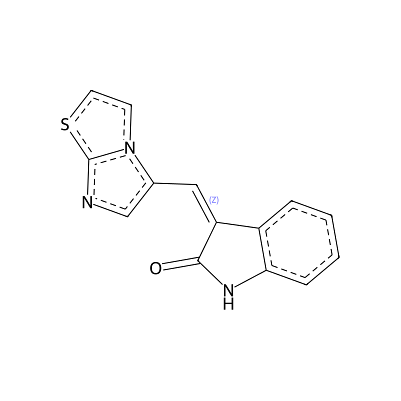 O=C1Nc2ccccc2/C1=C/c1cnc2sccn12